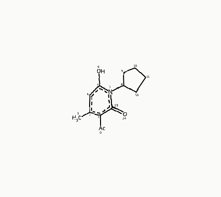 CC(=O)c1c(C)cc(O)n(C2CCCC2)c1=O